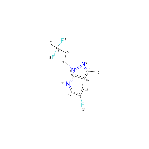 Cc1nn(CCC(C)(F)F)c2ncc(F)cc12